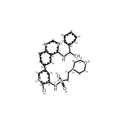 CC(Nc1ncnc2ccc(-c3cnc(Cl)c(NS(=O)(=O)CCN4CCOCC4)c3)cc12)c1ccccc1